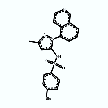 Cc1cc(NS(=O)(=O)c2ccc(C(C)(C)C)cc2)n(-c2cccc3cnccc23)n1